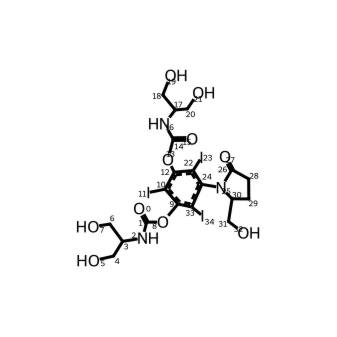 O=C(NC(CO)CO)Oc1c(I)c(OC(=O)NC(CO)CO)c(I)c(N2C(=O)CCC2CO)c1I